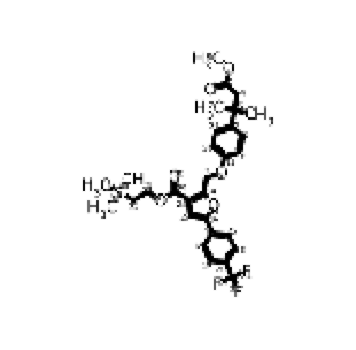 COC(=O)CC(C)(C)c1ccc(OCc2oc(-c3ccc(C(F)(F)F)cc3)cc2C(=O)OCC[Si](C)(C)C)cc1